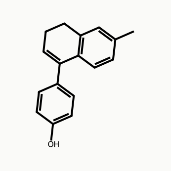 Cc1ccc2c(c1)CCC=C2c1ccc(O)cc1